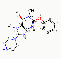 CCn1c(N2CCNCC2)nc2nc(Oc3ccccc3)n(C)c(=O)c21